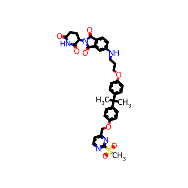 CC(C)(c1ccc(OCCCNc2ccc3c(c2)C(=O)N(C2CCC(=O)NC2=O)C3=O)cc1)c1ccc(OCc2ccnc(S(C)(=O)=O)n2)cc1